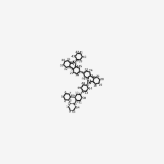 C1=CC2c3ccccc3-c3cc(-c4ccc(-n5c6ccccc6c6ccc(-c7ccc8c9ccccc9n(-c9ccccc9)c8c7)cc65)cc4)ccc3C2C=C1